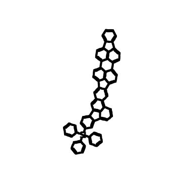 c1ccc([Si](c2ccccc2)(c2ccccc2)c2ccc3c(c2)c2cccc4c5cc6c(cc5cc3c42)c2ccc3c4ccc5c7c(ccc(c8ccc6c2c38)c74)-c2ccccc2-5)cc1